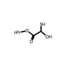 CCCOC(=O)C(O)S